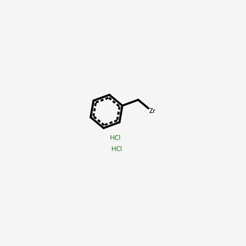 Cl.Cl.[Zr][CH2]c1ccccc1